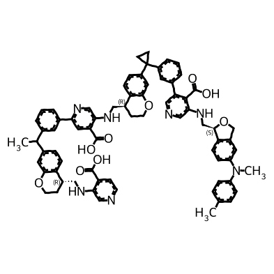 Cc1ccc(N(C)c2ccc3c(c2)CO[C@@H]3CNc2cncc(-c3cccc(C4(c5ccc6c(c5)OCC[C@H]6CNc5cnc(-c6cccc(C(C)c7ccc8c(c7)OCC[C@H]8CNc7cnccc7C(=O)O)c6)cc5C(=O)O)CC4)c3)c2C(=O)O)cc1